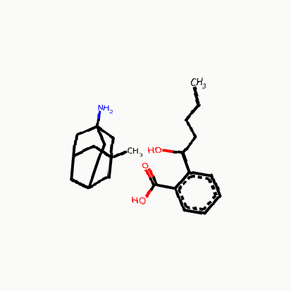 CC12CC3CC(C1)CC(N)(C3)C2.CCCCC(O)c1ccccc1C(=O)O